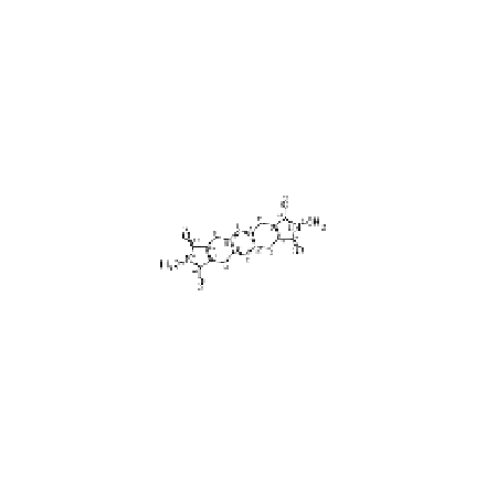 CN1C(=O)C2=C(Cc3cc4c(cc3C2)CC2=C(C4)C(=O)N(C)C2=O)C1=O